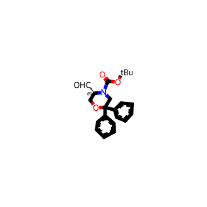 CC(C)(C)OC(=O)N1CC(c2ccccc2)(c2ccccc2)OC[C@@H]1C=O